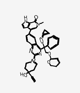 C#CC1(O)CCN(c2nc(C(COC3CCCCO3)(OC3CC3)c3ccccc3)c3cc(-c4cn(C)c(=O)c5[nH]ccc45)ccc3n2)CC1